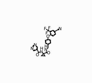 N#Cc1ccc(Oc2ccc(CNC(=O)C3(NC(=O)c4cncnc4)CC3)cc2)c(C(F)(F)F)c1